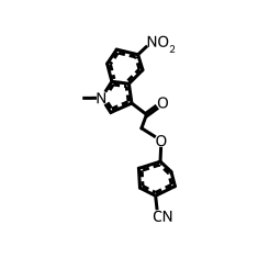 Cn1cc(C(=O)COc2ccc(C#N)cc2)c2cc([N+](=O)[O-])ccc21